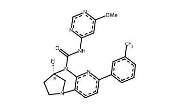 COc1cc(NC(=O)N2c3nc(-c4cccc(C(F)(F)F)c4)ccc3N3CC[C@@H]2C3)ncn1